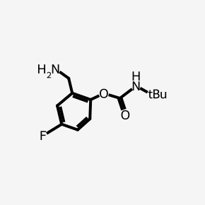 CC(C)(C)NC(=O)Oc1ccc(F)cc1CN